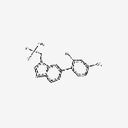 CC(C)(O)Cn1cnc2ccc(-c3ccc(C(F)(F)F)cc3Cl)cc21